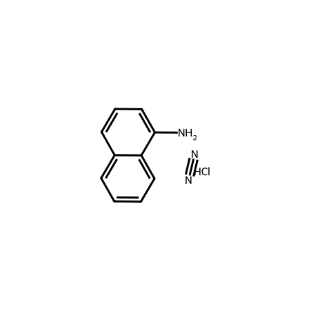 Cl.N#N.Nc1cccc2ccccc12